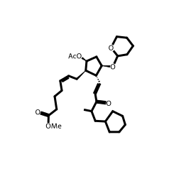 COC(=O)CCC/C=C\C[C@@H]1[C@@H](/C=C/C(=O)C(C)CC2CCCCC2)[C@H](OC2CCCCO2)C[C@@H]1OC(C)=O